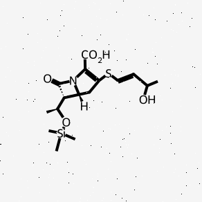 CC(O)C=CSC1=C(C(=O)O)N2C(=O)[C@@H]([C@H](C)O[Si](C)(C)C)[C@H]2C1